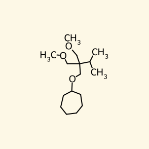 COCC(COC)(COC1CCCCCC1)C(C)C